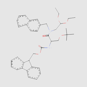 CCOC(CN(Cc1ccc2ccccc2c1)C(=O)C(COC(C)(C)C)NC(=O)OCC1c2ccccc2-c2ccccc21)OCC